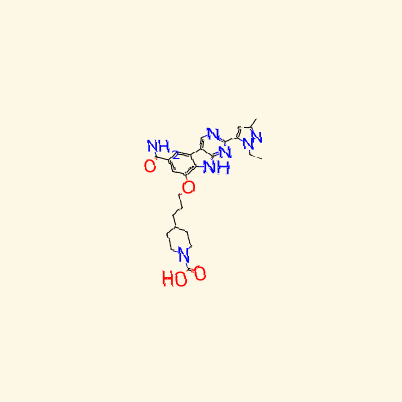 CCn1nc(C)cc1-c1ncc2c(n1)[nH]c1c(OCCCC3CCN(C(=O)O)CC3)cc(C(N)=O)cc12